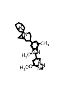 COc1cc(-c2nc3c(C)cc(C4CCN(C5CC6CCC(C5)N6CC5CC5)CC4)cc3n2C)cn2ncnc12